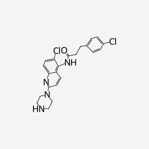 O=C(CCc1ccc(Cl)cc1)Nc1c(Cl)ccc2nc(N3CCNCC3)ccc12